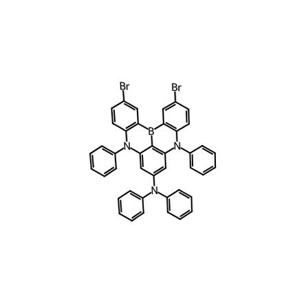 Brc1ccc2c(c1)B1c3cc(Br)ccc3N(c3ccccc3)c3cc(N(c4ccccc4)c4ccccc4)cc(c31)N2c1ccccc1